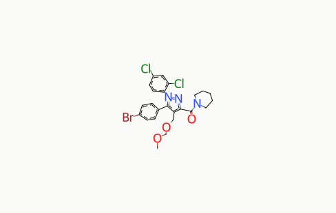 COCOCc1c(C(=O)N2CCCCC2)nn(-c2ccc(Cl)cc2Cl)c1-c1ccc(Br)cc1